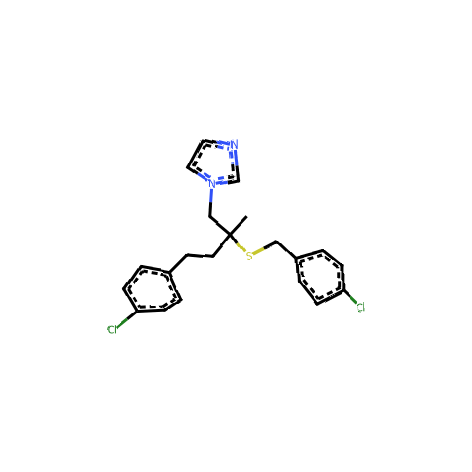 CC(CCc1ccc(Cl)cc1)(Cn1ccnc1)SCc1ccc(Cl)cc1